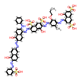 CCCOc1cc(N=Nc2cc(S(=O)(=O)O)cc3cc(S(=O)(=O)O)cc(O)c23)c(C)cc1N=Nc1c(S(=O)(=O)O)cc2c(S(=O)(=O)O)c(N=Nc3c(Nc4ccccc4)ccc4c(O)c(N=Nc5ccc6c(O)c(N=Nc7ccccc7S(=O)(=O)O)ccc6c5)ccc34)ccc2c1O